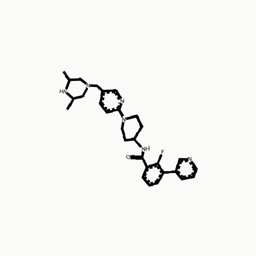 CC1CN(Cc2ccc(N3CCC(NC(=O)c4cccc(-c5cccnc5)c4F)CC3)nc2)CC(C)N1